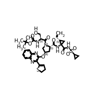 C=C[C@@H]1C[C@]1(NC(=O)[C@@H]1C[C@@H](Oc2nc3ccccc3nc2C2=CCCS2)CN1C(=O)[C@H](CO)NC(=O)OC(C)(C)C)C(=O)NS(=O)(=O)C1CC1